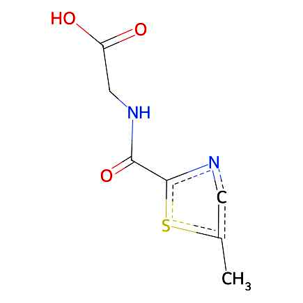 Cc1cnc(C(=O)NCC(=O)O)s1